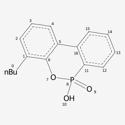 CCCCc1cccc2c1OP(=O)(O)c1ccccc1-2